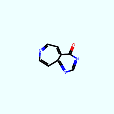 O=c1ncnc2ccnccc1-2